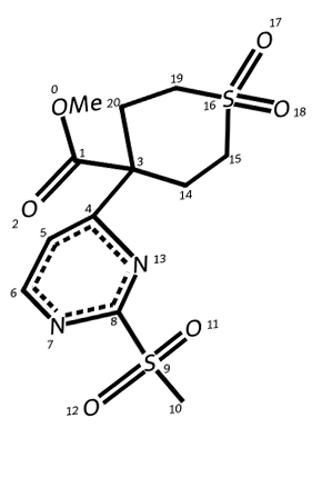 COC(=O)C1(c2ccnc(S(C)(=O)=O)n2)CCS(=O)(=O)CC1